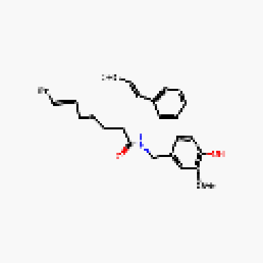 COc1cc(CNC(=O)CCCC/C=C/C(C)C)ccc1O.O=C/C=C/c1ccccc1